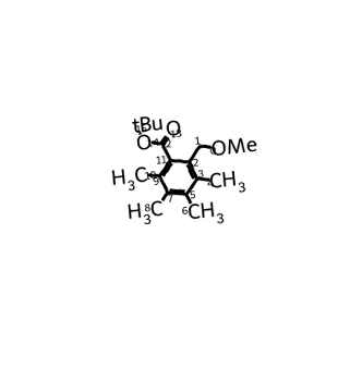 COCc1c(C)c(C)c(C)c(C)c1C(=O)OC(C)(C)C